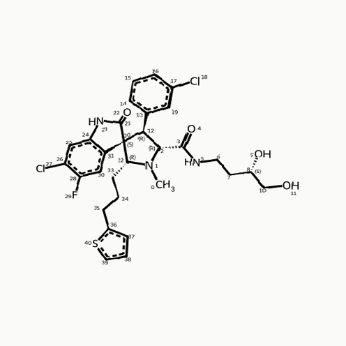 CN1[C@@H](C(=O)NCC[C@H](O)CO)[C@H](c2cccc(Cl)c2)[C@@]2(C(=O)Nc3cc(Cl)c(F)cc32)[C@H]1CCCc1cccs1